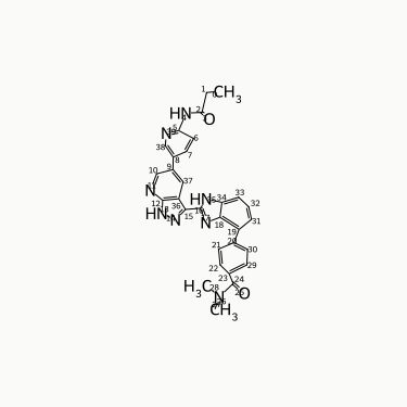 CCC(=O)Nc1ccc(-c2cnc3[nH]nc(-c4nc5c(-c6ccc(C(=O)N(C)C)cc6)cccc5[nH]4)c3c2)cn1